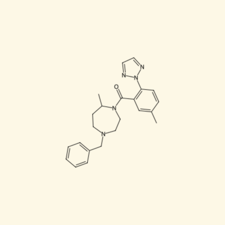 Cc1ccc(-n2nccn2)c(C(=O)N2CCN(Cc3ccccc3)CCC2C)c1